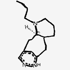 CCCN1CCCC2Cc3[nH]ncc3C[C@H]21